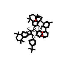 Cc1cc(-c2ccccc2)c(N2c3cc4c(cc3B3c5sc6cc7c(cc6c5N(c5ccc(C(C)(C)C)cc5)c5cc(C)cc2c53)C(C)(C)CCC7(C)C)C(C)(C)CCC4(C)C)c(-c2ccccc2)c1